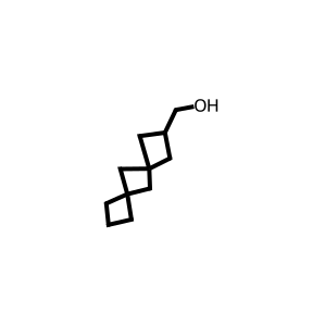 OCC1CC2(C1)CC1(CCC1)C2